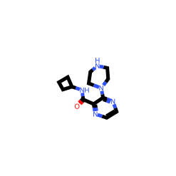 O=C(NC1CCC1)c1nccnc1N1CCNCC1